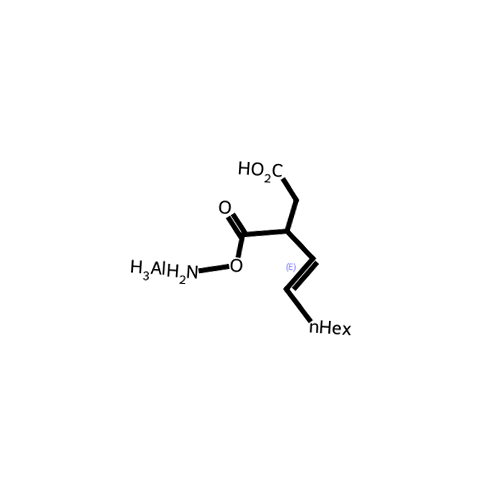 CCCCCC/C=C/C(CC(=O)O)C(=O)ON.[AlH3]